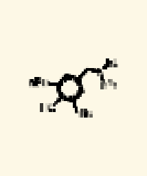 CCCCc1cc(CN(CC)CCC)cc(CCCC)c1O